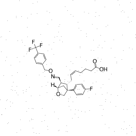 O=C(O)CCC/C=C\C[C@H]1[C@H](C=NOCc2ccc(C(F)(F)F)cc2)[C@@H]2C[C@@]1(c1ccc(F)cc1)CO2